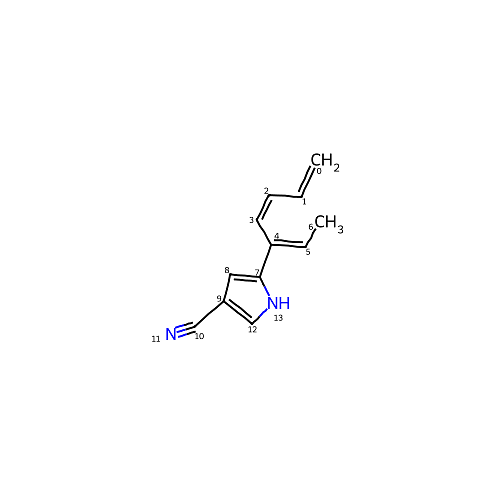 C=C/C=C\C(=C/C)c1cc(C#N)c[nH]1